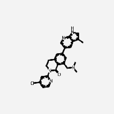 Cc1c[nH]c2ncc(-c3cc4c(c(CN(C)C)c3)C(=O)N(c3cc(Cl)ccn3)CC4)cc12